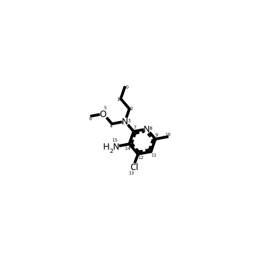 CCCN(COC)c1nc(C)cc(Cl)c1N